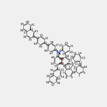 c1ccc(C2(c3ccccc3)c3ccccc3-c3c(-c4ccccc4N(c4ccc(-c5ccc(-c6ccc7ccccc7c6)cc5)cc4)c4ccc(-c5ccc6ccccc6c5)cc4)cccc32)cc1